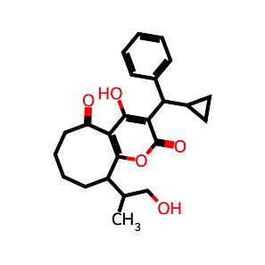 CC(CO)C1CCCCC(=O)c2c1oc(=O)c(C(c1ccccc1)C1CC1)c2O